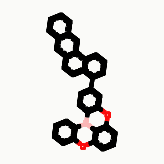 c1ccc2c(c1)Oc1cccc3c1B2c1ccc(-c2cccc4c2ccc2cc5ccccc5cc24)cc1O3